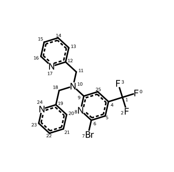 FC(F)(F)c1cc(Br)nc(N(Cc2ccccn2)Cc2ccccn2)c1